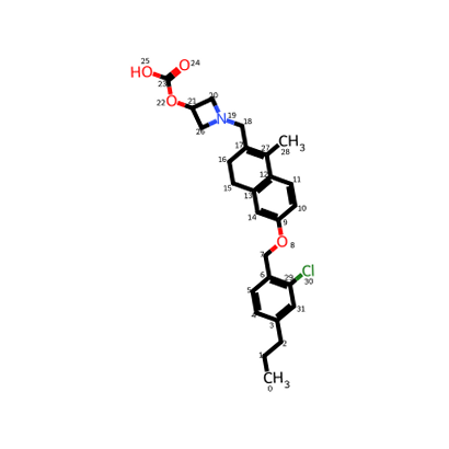 CCCc1ccc(COc2ccc3c(c2)CCC(CN2CC(OC(=O)O)C2)=C3C)c(Cl)c1